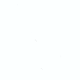 Cc1cccnc1C1CCN(S(=O)(=O)c2ccc(Br)cc2)CC1